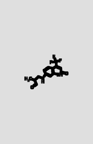 CC(C=O)CNc1ccc2c(C(F)(F)F)cc(=O)[nH]c2c1